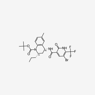 CCC[C@H]1C[C@@H](NC(=O)c2cc(Br)c(C(F)(F)F)[nH]c2=O)c2cc(C)ccc2N1C(=O)OC(C)(C)C